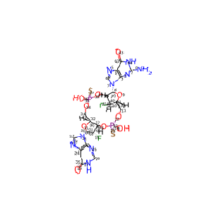 Nc1nc2c(ncn2[C@@H]2O[C@@H]3COP(O)(=S)O[C@H]4[C@H](F)[C@H](n5cnc6c(=O)[nH]cnc65)O[C@@H]4COP(O)(=S)O[C@@H]2[C@@H]3F)c(=O)[nH]1